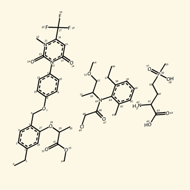 CCc1ccc(COc2ccc(-n3c(=O)cc(C(F)(F)F)n(C)c3=O)cc2)c(OC(C)C(=O)OC)c1.CCc1cccc(C)c1N(C(=O)CCl)C(C)COC.CP(=O)(O)CCC(N)C(=O)O